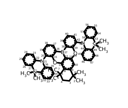 CC1(C)CCC(C)(C)c2c1cc1c3c2Oc2c(cccc2N2c4ccccc4[Si](C)(C)c4ccccc42)B3c2cccc(N3c4ccccc4[Si](C)(C)c4ccccc43)c2O1